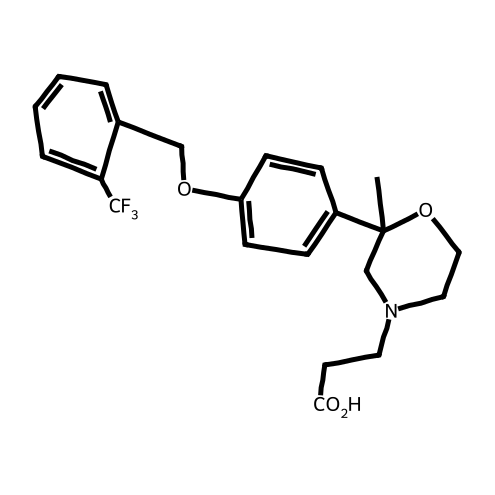 CC1(c2ccc(OCc3ccccc3C(F)(F)F)cc2)CN(CCC(=O)O)CCO1